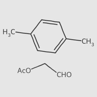 CC(=O)OCC=O.Cc1ccc(C)cc1